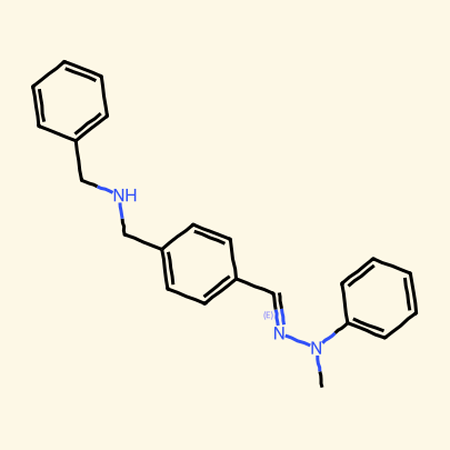 CN(/N=C/c1ccc(CNCc2ccccc2)cc1)c1ccccc1